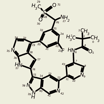 CC(C)(C)C(=O)Nc1cncc(-c2cc3c(-c4cc5c(-c6cc(F)cc(C(N)S(C)(=O)=O)c6)ccnc5[nH]4)n[nH]c3cn2)c1